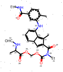 CCNC(=O)c1ccc(C)c(NC2=CC=CC3C=C(C(=O)N(CC)C(=O)OCOC(=O)C(C)NC=O)C(C)=C23)c1